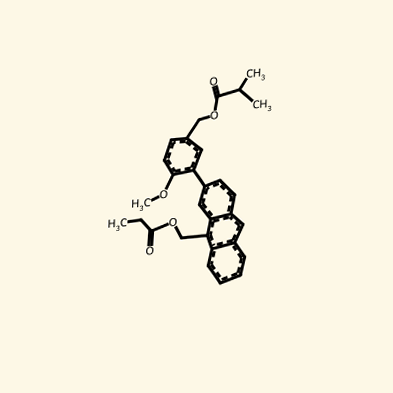 CCC(=O)OCc1c2ccccc2cc2ccc(-c3cc(COC(=O)C(C)C)ccc3OC)cc12